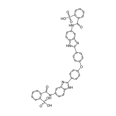 O=C(Nc1ccc2[nH]c(-c3ccc(Oc4ccc(-c5nc6cc(NC(=O)c7ccccc7S(=O)(=O)O)ccc6[nH]5)cc4)cc3)nc2c1)c1ccccc1S(=O)(=O)O